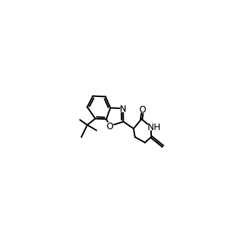 C=C1CCC(c2nc3cccc(C(C)(C)C)c3o2)C(=O)N1